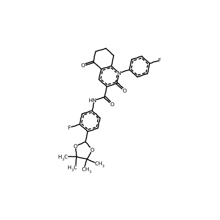 CC1(C)OC(c2ccc(NC(=O)c3cc4c(n(-c5ccc(F)cc5)c3=O)CCCC4=O)cc2F)OC1(C)C